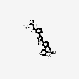 CC(C#N)NC(=O)c1cccc(-c2cc(-c3ccc(CN(C(=O)C(F)(F)F)C4CCOCC4)cc3)[nH]n2)c1